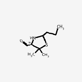 CCCC1N[C@H](C=O)C(C)(C)S1